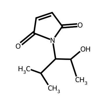 CC(C)C(C(C)O)N1C(=O)C=CC1=O